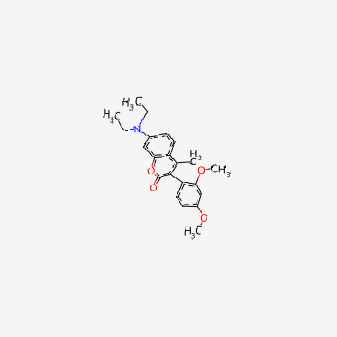 CCN(CC)c1ccc2c(C)c(-c3ccc(OC)cc3OC)c(=O)oc2c1